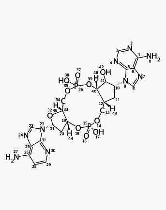 Nc1ncnc2c1ncn2[C@@H]1C[C@@H]2COP(=O)(O)O[C@@H]3C[C@H](n4cnc5c(N)ccnc54)O[C@@H]3COP(=O)(O)O[C@@H]2C1O